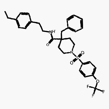 CCc1ccc(CCNC(=O)C2(Cc3ccccc3)CCN(S(=O)(=O)c3ccc(OC(F)(F)F)cc3)CC2)cc1